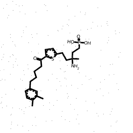 Cc1ccc(CCCCC(=O)c2ccc(CCC(C)(N)CCP(=O)(O)O)s2)cc1C